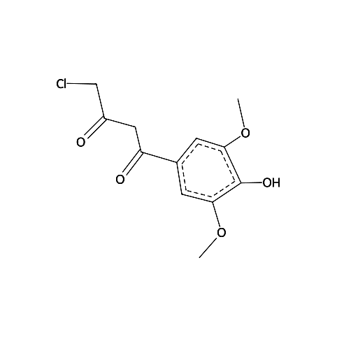 COc1cc(C(=O)CC(=O)CCl)cc(OC)c1O